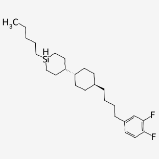 CCCCC[SiH]1CCC([C@H]2CC[C@H](CCCCc3ccc(F)c(F)c3)CC2)CC1